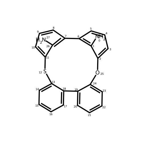 Nc1c2cccc1c1cccc(sc3ccccc3c3ccccc3o2)c1N